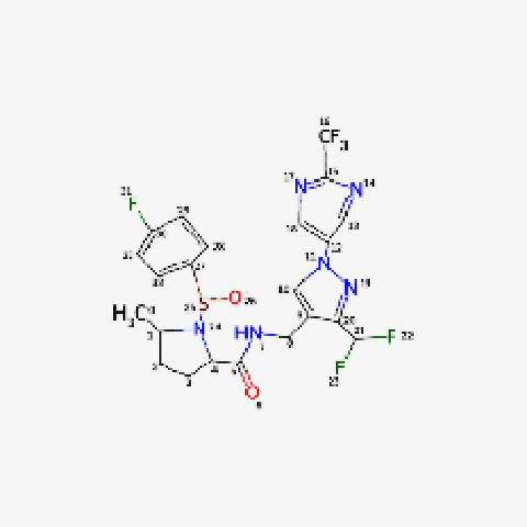 CC1CCC(C(=O)NCc2cn(-c3cnc(C(F)(F)F)nc3)nc2C(F)F)N1[S+]([O-])c1ccc(F)cc1